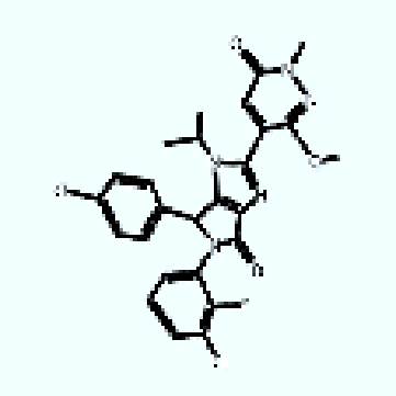 COc1nn(C)c(=O)cc1-c1nc2c(n1C(C)C)C(c1ccc(Cl)cc1)N(c1cccc(Cl)c1F)C2=O